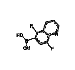 OB(O)c1cc(F)c2ncccc2c1F